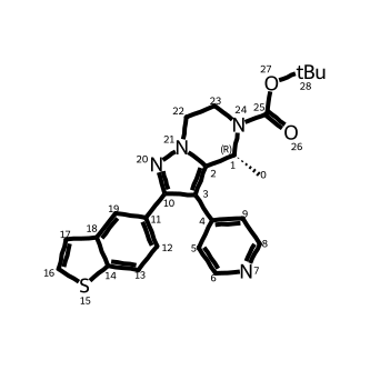 C[C@@H]1c2c(-c3ccncc3)c(-c3ccc4sccc4c3)nn2CCN1C(=O)OC(C)(C)C